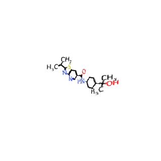 CC(C)c1nc2ncc(C(=O)N[C@H]3CC[C@H](C(C)(C)O)CC3)cc2s1